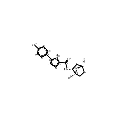 O=C(N[C@@H]1C[C@H]2CC[C@@H]1N2)c1ccc(-c2ccc(Cl)cc2)[nH]1